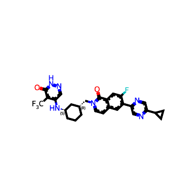 O=c1[nH]ncc(N[C@H]2CCC[C@@H](Cn3ccc4cc(-c5cnc(C6CC6)cn5)c(F)cc4c3=O)C2)c1C(F)(F)F